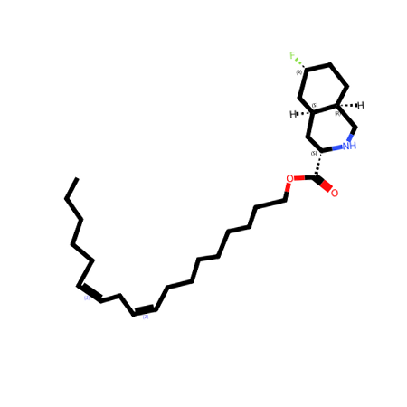 CCCCC/C=C\C/C=C\CCCCCCCCOC(=O)[C@@H]1C[C@H]2C[C@H](F)CC[C@H]2CN1